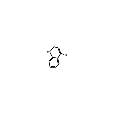 [2H]C1=CCNc2ccccc21